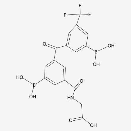 O=C(O)CNC(=O)c1cc(B(O)O)cc(C(=O)c2cc(B(O)O)cc(C(F)(F)F)c2)c1